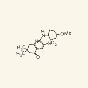 COC1CCC(Nc2nc3c(cc2[N+](=O)[O-])C(=O)CC(C)(C)C3)CC1